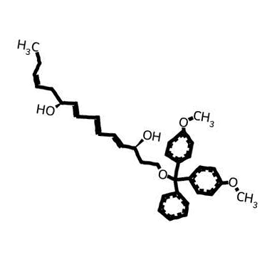 CC/C=C\C[C@H](O)/C=C/C=C/C=C/[C@@H](O)CCOC(c1ccccc1)(c1ccc(OC)cc1)c1ccc(OC)cc1